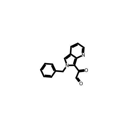 O=CC(=O)c1c2ncccc2cn1Cc1ccccc1